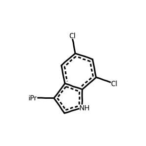 CC(C)c1c[nH]c2c(Cl)cc(Cl)cc12